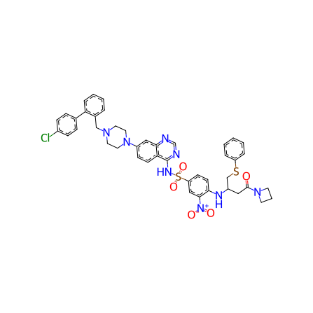 O=C(CC(CSc1ccccc1)Nc1ccc(S(=O)(=O)Nc2ncnc3cc(N4CCN(Cc5ccccc5-c5ccc(Cl)cc5)CC4)ccc23)cc1[N+](=O)[O-])N1CCC1